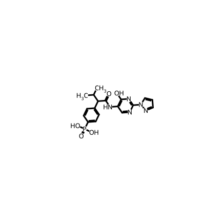 CC(C)C(C(=O)Nc1cnc(-n2cccn2)nc1O)c1ccc(P(=O)(O)O)cc1